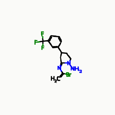 C=C(Br)/N=C1/CC(c2cccc(C(F)(F)F)c2)CCN1N